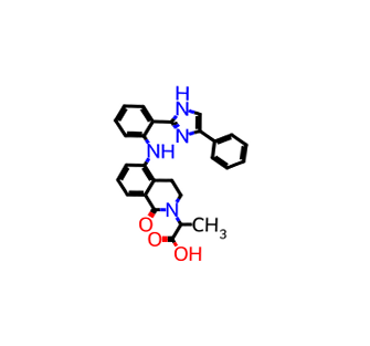 CC(C(=O)O)N1CCc2c(Nc3ccccc3-c3nc(-c4ccccc4)c[nH]3)cccc2C1=O